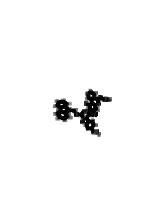 CC1CCC([C@H](NC(=O)OCC2c3ccccc3-c3ccccc32)c2nc3c(F)c(C4COCCN4C(=O)OC(C)(C)C)ccc3[nH]2)CC1